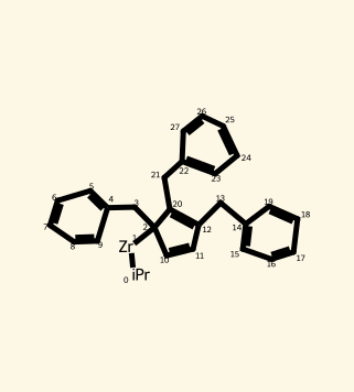 C[CH](C)[Zr][C]1(Cc2ccccc2)C=CC(Cc2ccccc2)=C1Cc1ccccc1